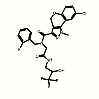 Cn1nc(C(=O)N(CC(=O)NCC(O)C(F)(F)F)Cc2ccccc2F)c2c1-c1cc(Cl)ccc1OC2